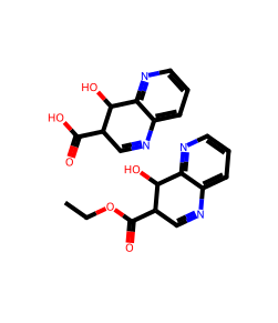 CCOC(=O)C1C=Nc2cccnc2C1O.O=C(O)C1C=Nc2cccnc2C1O